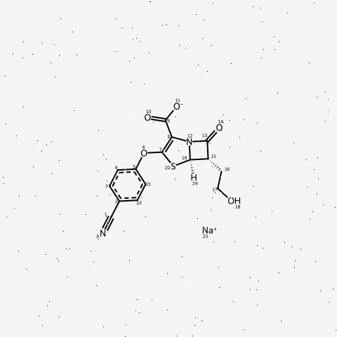 N#Cc1ccc(OC2=C(C(=O)[O-])N3C(=O)[C@H](CCO)[C@H]3S2)cc1.[Na+]